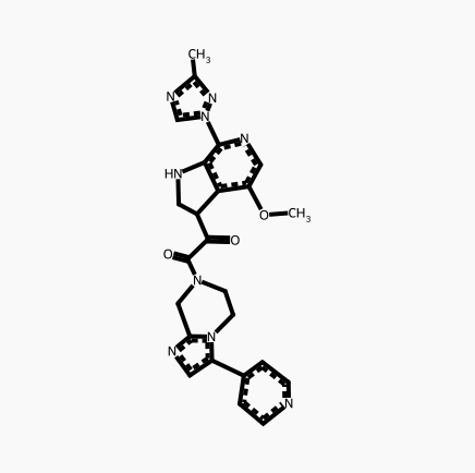 COc1cnc(-n2cnc(C)n2)c2c1C(C(=O)C(=O)N1CCn3c(-c4ccncc4)cnc3C1)CN2